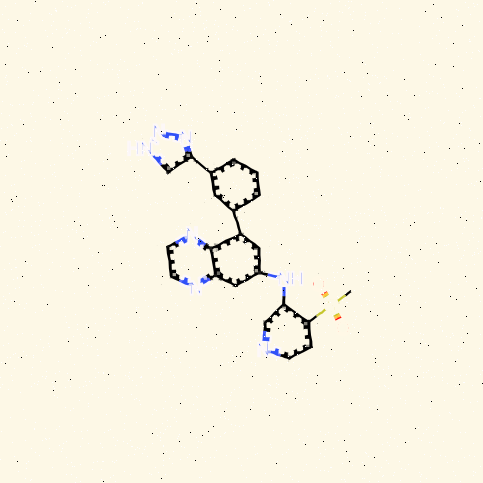 CS(=O)(=O)c1ccncc1Nc1cc(-c2cccc(-c3c[nH]nn3)c2)c2nccnc2c1